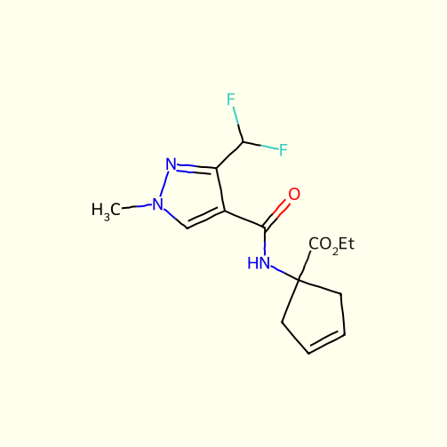 CCOC(=O)C1(NC(=O)c2cn(C)nc2C(F)F)CC=CC1